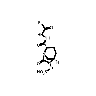 CCC(=O)NNC(=O)[C@@H]1CC[C@@H]2CN1C(=O)N2OS(=O)(=O)O